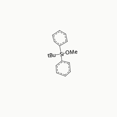 CO[Si](c1ccccc1)(c1ccccc1)C(C)(C)C